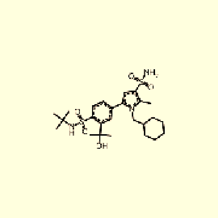 Cc1c(S(N)(=O)=O)cc(-c2ccc(S(=O)(=O)NC(C)(C)C)c(C(C)(C)O)c2)n1CC1CCCCC1